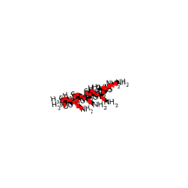 COc1ccc(NC(=O)[C@H](CCCCCN)NC(=O)c2cc(NC(=O)[C@H](CCCCCN)NC(=O)c3cc(NC(=O)[C@H](CCCCN)NC(=O)c4ccc(NC(=O)[C@@H](N)CCCCN)cc4OC)ccc3OC)ccc2OC)cc1C(N)=O